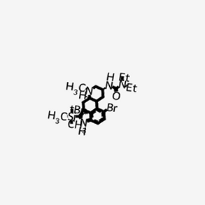 CCN(CC)C(=O)N[C@H]1CC2c3c(Br)ccc4[nH]c([Si](C)(C)C(C)(C)C)c(c34)C[C@H]2N(C)C1